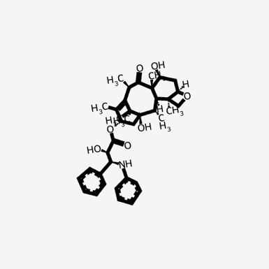 CC1=C2[C@@H](C)C(=O)[C@@]3(C)[C@H]([C@H](C)[C@](O)(C[C@@H]1OC(=O)[C@H](O)[C@@H](Nc1ccccc1)c1ccccc1)C2(C)C)[C@]1(C)CO[C@@H]1C[C@@H]3O